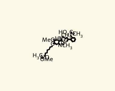 COc1cc2c(N[C@H](C)c3cc(-c4ccccc4CN(C)C(=O)O)cs3)nc(C)nc2cc1OCCCCCCC(=O)N(C)OC